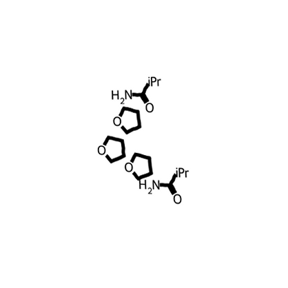 C1CCOC1.C1CCOC1.C1CCOC1.CC(C)C(N)=O.CC(C)C(N)=O